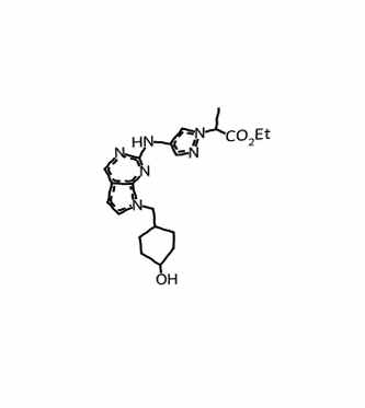 CCOC(=O)C(C)n1cc(Nc2ncc3ccn(CC4CCC(O)CC4)c3n2)cn1